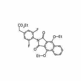 CCOC(=O)Cc1cc(F)c(N2C(=O)c3c(c(OCC)c4ccccc4c3OCC)C2=O)c(F)c1